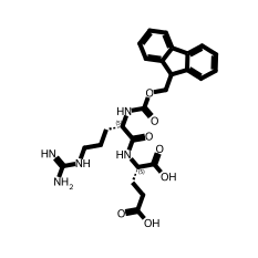 N=C(N)NCCC[C@H](NC(=O)OCC1c2ccccc2-c2ccccc21)C(=O)N[C@@H](CCC(=O)O)C(=O)O